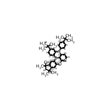 CC(C)(C)c1ccc(N2c3cc(C(C)(C)C)ccc3B3c4cc5c(cc4Oc4nccc2c43)C(C)(C)CC5(C)C)cc1